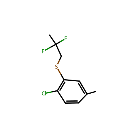 Cc1ccc(Cl)c(SCC(C)(F)F)c1